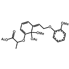 COc1ccccc1OCC=C1C=CC=C(OC(C)C(=O)OC(C)=O)C1(OC)OC(C)=O